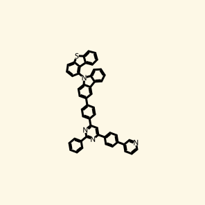 c1ccc(-c2nc(-c3ccc(-c4cccnc4)cc3)cc(-c3ccc(-c4ccc5c(c4)c4ccccc4n5-c4cccc5sc6ccccc6c45)cc3)n2)cc1